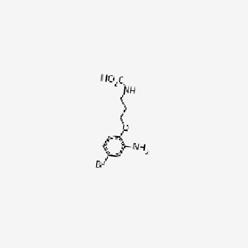 Nc1cc(Br)ccc1OCCCNC(=O)O